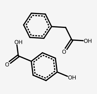 O=C(O)Cc1ccccc1.O=C(O)c1ccc(O)cc1